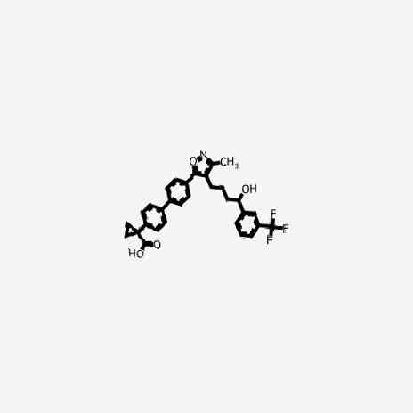 Cc1noc(-c2ccc(-c3ccc(C4(C(=O)O)CC4)cc3)cc2)c1CCCC(O)c1cccc(C(F)(F)F)c1